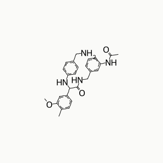 COc1cc(C(Nc2ccc(CN)cc2)C(=O)NCc2cccc(NC(C)=O)c2)ccc1C